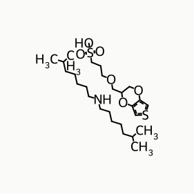 CC(C)CCCCCNCCCCCC(C)C.O=S(=O)(O)CCCOCC1COc2cscc2O1